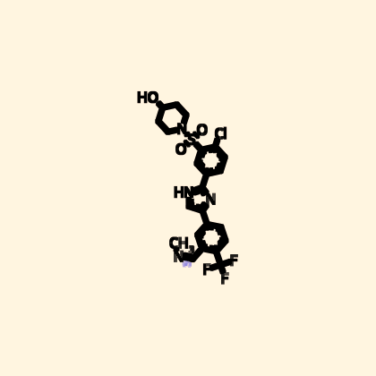 C/N=C\c1cc(-c2c[nH]c(-c3ccc(Cl)c(S(=O)(=O)N4CCC(O)CC4)c3)n2)ccc1C(F)(F)F